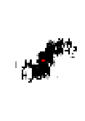 C[C@H](NC(=O)[C@@H](NC(=O)C(N)CCCCN)[C@@H](O)CN)C(=O)NCC(=O)N[C@H](CCCN)C(=O)N1CCC[C@H]1C(=O)N[C@@H](Cc1cccc(Cl)c1)C(=O)N[C@@H](CCCCN)C(=O)N/C(=C\CCNC(=N)N)C(=O)O